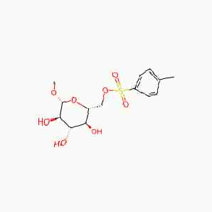 CO[C@@H]1O[C@H](COS(=O)(=O)c2ccc(C)cc2)[C@@H](O)[C@H](O)[C@H]1O